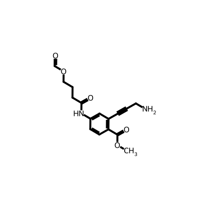 COC(=O)c1ccc(NC(=O)CCCOC=O)cc1C#CCN